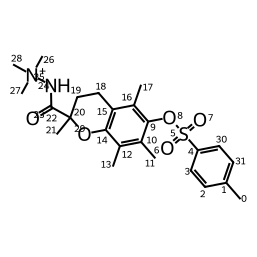 Cc1ccc(S(=O)(=O)Oc2c(C)c(C)c3c(c2C)CCC(C)(C(=O)N[N+](C)(C)C)O3)cc1